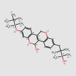 CC(C)(Cc1ccc2c(c1)OCC1=C2C(O)Oc2cc(O[Si](C)(C)C(C)(C)C)ccc21)[Si](C)(C)O